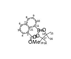 COC(=O)c1cccc2cccc(B3OC(C)(C)C(C)(C)O3)c12